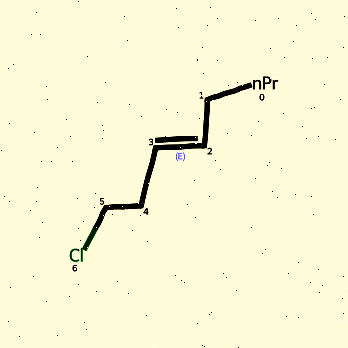 CCCC/C=C/CCCl